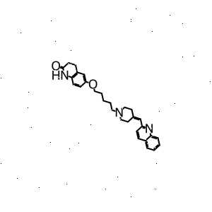 O=C1CCc2cc(OCCCCCN3CCC(=Cc4ccc5ccccc5n4)CC3)ccc2N1